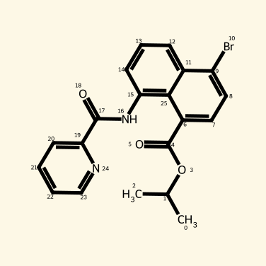 CC(C)OC(=O)c1ccc(Br)c2cccc(NC(=O)c3ccccn3)c12